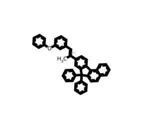 C/C(=C\c1cccc(Oc2ccccc2)c1)c1ccc2c(c1)C(c1ccccc1)(c1ccccc1)c1ccc3ccccc3c1-2